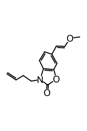 C=CCCn1c(=O)oc2cc(C=COC)ccc21